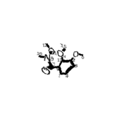 COc1cccc(C(=O)N(C)OC)c1OC